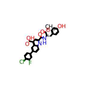 COC(=O)[C@H](Cc1ccc(O)cc1)NC(=O)c1cc(C(=O)O)c2cc(-c3ccc(Cl)c(F)c3)ccc2n1